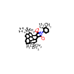 Cc1cccc(-n2c(=O)c3c4cc([Si](C)(C)C)c5ccc6ccc7c([Si](C)(C)C)cc(c3c2=O)c2c7c6c5c42)c1C